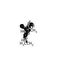 CC(C)CNc1nc2ccc(S(=O)(=O)N(CC(C)C)C[C@@H](O)[C@H](Cc3ccccc3)NC(=O)OC3CO[C@H]4OCC(F)(F)[C@@H]34)cc2s1